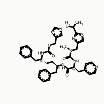 CC(C)c1nc(CN(C)C(=O)N[C@@H](Cc2ccncc2)C(=O)N[C@H](CC[C@H](Cc2ccccc2)NC(=O)OCc2cncs2)Cc2ccccc2)cs1